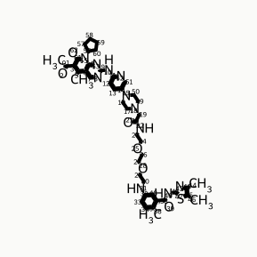 CC(=O)c1c(C)c2cnc(Nc3ccc(N4CCN(CC(=O)NCCOCCOCCNc5ccc(C)c(C(=O)Nc6nc(C)c(C)s6)c5)CC4)cn3)nc2n(C2CCCC2)c1=O